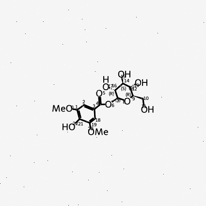 COc1cc(C(=O)O[C@@H]2O[C@H](CO)[C@@H](O)[C@H](O)[C@H]2O)cc(OC)c1O